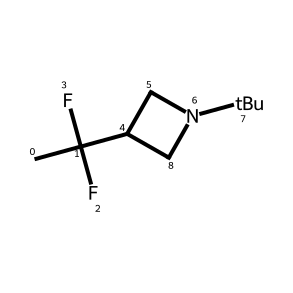 CC(F)(F)C1CN(C(C)(C)C)C1